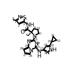 Cc1cc(NC(=O)[C@]2(C)CCCN2c2nc(Nc3cc(C4CC4)[nH]n3)n3cccc3n2)sn1